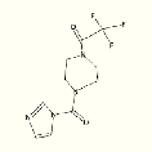 O=C(N1CCN(C(=O)C(F)(F)F)CC1)n1ccnc1